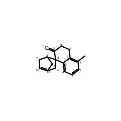 Cc1cccc2c1CCC(=O)C21CC2=CCC1C2